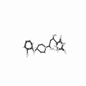 CCCC(CC(C)N1CCC(Oc2ccccc2Cl)CC1)c1n[nH]c(=O)[nH]c1=O